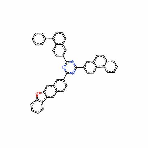 c1ccc(-c2cccc3cc(-c4nc(-c5ccc6cc7c(cc6c5)oc5ccccc57)nc(-c5ccc6c(ccc7ccccc76)c5)n4)ccc23)cc1